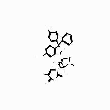 COc1ccc(C(OC[C@@]23CN(C)[C@@H]([C@H](n4cc(C)c(=O)[nH]c4=O)O2)[C@@H]3O)(c2ccccc2)c2ccc(OC)cc2)cc1